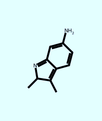 CC1=c2ccc(N)cc2=NC1C